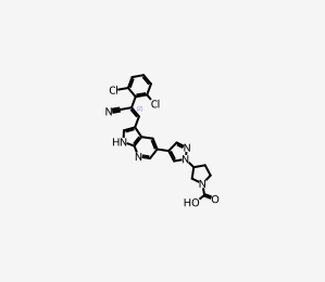 N#C/C(=C\c1c[nH]c2ncc(-c3cnn(C4CCN(C(=O)O)C4)c3)cc12)c1c(Cl)cccc1Cl